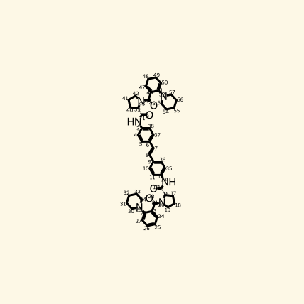 O=C(Nc1ccc(/C=C/c2ccc(NC(=O)[C@@H]3CCCN3C(=O)c3ccccc3N3CCCCC3)cc2)cc1)[C@@H]1CCCN1C(=O)C1=CCCC=C1N1CCCCC1